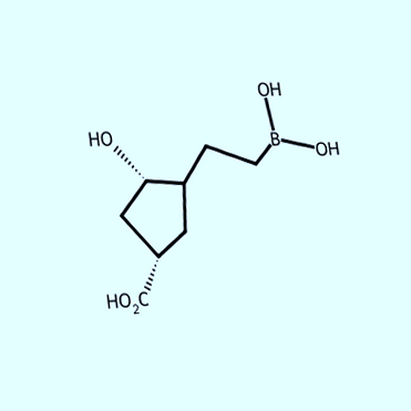 O=C(O)[C@H]1CC(CCB(O)O)[C@@H](O)C1